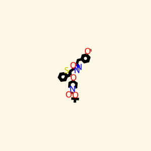 COc1cccc(Cc2nnc(-c3sc4ccccc4c3OC3CCN(C(=O)OC(C)(C)C)CC3)o2)c1